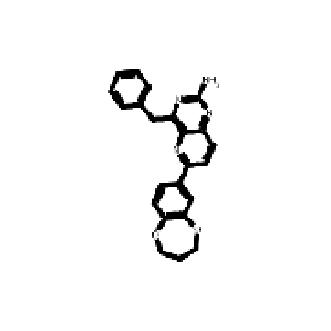 Nc1nc(Cc2ccccc2)c2nc(-c3ccc4c(c3)OCCCO4)ccc2n1